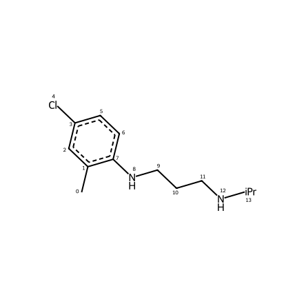 Cc1cc(Cl)ccc1NCCCNC(C)C